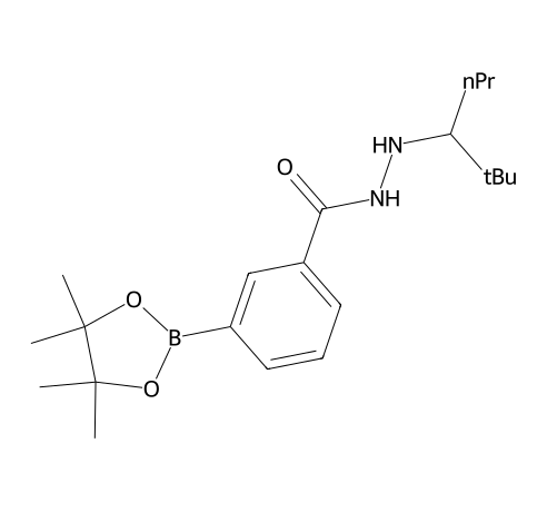 CCCC(NNC(=O)c1cccc(B2OC(C)(C)C(C)(C)O2)c1)C(C)(C)C